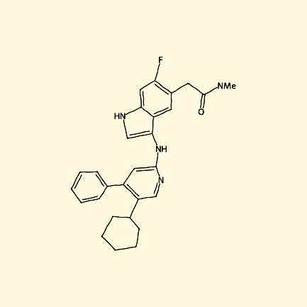 CNC(=O)Cc1cc2c(Nc3cc(-c4ccccc4)c(C4CCCCC4)cn3)c[nH]c2cc1F